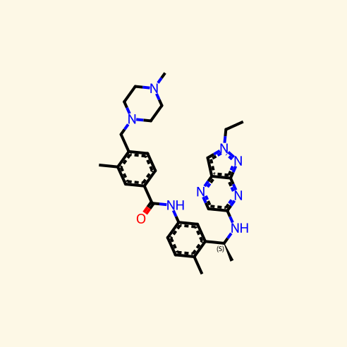 CCn1cc2ncc(N[C@@H](C)c3cc(NC(=O)c4ccc(CN5CCN(C)CC5)c(C)c4)ccc3C)nc2n1